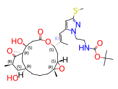 CSc1cc(/C=C(\C)[C@@H]2C[C@@H]3O[C@]3(C)CCC[C@@H]3C[C@@](C)(C(=O)[C@H](C)[C@H]3O)[C@@H](O)CC(=O)O2)n(CCNC(=O)OC(C)(C)C)n1